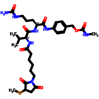 CNC(=O)OCc1ccc(NC(=O)[C@H](CCCNC(N)=O)NC(=O)[C@@H](NC(=O)CCCCCN2C(=O)CC(SC)C2=O)C(C)C)cc1